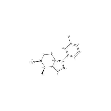 Cc1cccc(-c2nnc3n2CCN(N)[C@@H]3C)n1